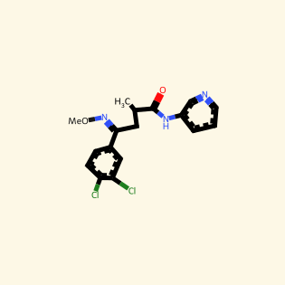 CON=C(CC(C)C(=O)Nc1cccnc1)c1ccc(Cl)c(Cl)c1